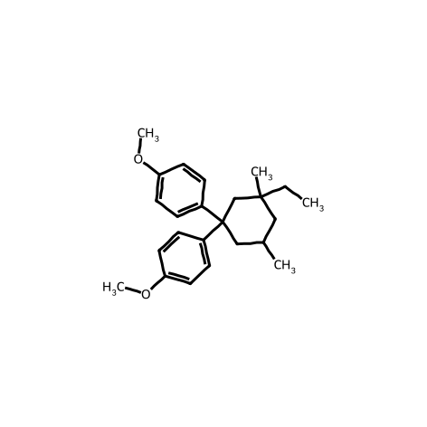 CCC1(C)CC(C)CC(c2ccc(OC)cc2)(c2ccc(OC)cc2)C1